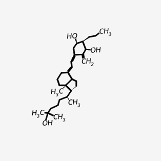 C=C1/C(=C\C=C2CCC[C@@]3(C)C2CC[C@@H]3[C@H](C)CCCC(C)(C)O)C[C@@H](O)[C@@H](CCC)[C@H]1O